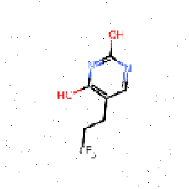 Oc1ncc(CCC(F)(F)F)c(O)n1